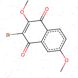 COC1=C(Br)C(=O)c2cc(OC)ccc2C1=O